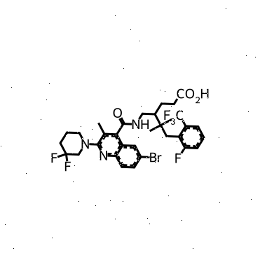 Cc1c(N2CCCC(F)(F)C2)nc2ccc(Br)cc2c1C(=O)NCC(CCC(=O)O)C(C)(C)Cc1c(F)cccc1C(F)(F)F